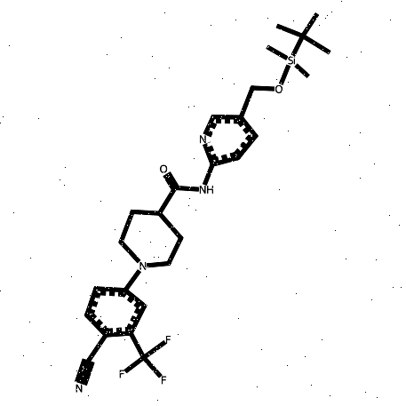 CC(C)(C)[Si](C)(C)OCc1ccc(NC(=O)C2CCN(c3ccc(C#N)c(C(F)(F)F)c3)CC2)nc1